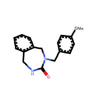 COc1ccc(CN2Cc3ccccc3CNC2=O)cc1